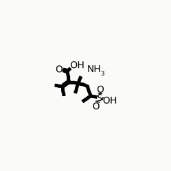 CC(C)=C(C(=O)O)C(C)(C)CC(C)S(=O)(=O)O.N